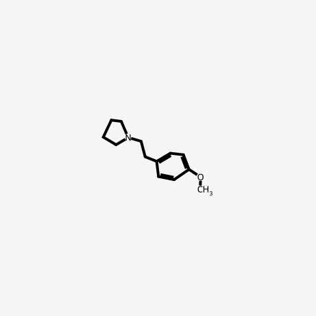 COc1ccc(CCN2CCCC2)cc1